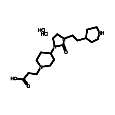 Cl.Cl.O=C(O)CCN1CCC(N2CCN(CCC3CCNCC3)C2=O)CC1